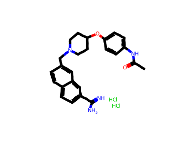 CC(=O)Nc1ccc(OC2CCN(Cc3ccc4ccc(C(=N)N)cc4c3)CC2)cc1.Cl.Cl